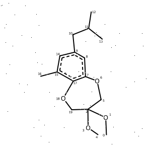 COC1(OC)COc2cc(CC(C)C)cc(C)c2OC1